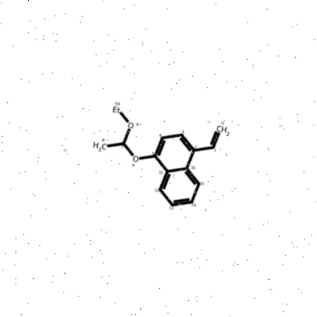 C=Cc1ccc(OC(C)OCC)c2ccccc12